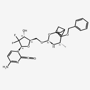 C[C@H](N[P@@](OC[C@H]1O[C@@H](N2C=CC(N)=NC2=C=O)C(F)(F)[C@@H]1O)OC12CC(C1)C2)C(=O)OCc1ccccc1